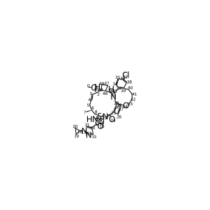 CO[C@H]1/C=C/C[C@H](C)CS(=O)(NC(=O)c2cnn(C3CC3)c2)=NC(=O)c2ccc3c(c2)N(Cc2ccc(Cl)cc2CCCCO3)C[C@@H]2CC[C@H]21